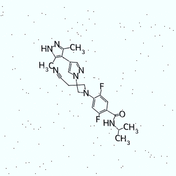 Cc1n[nH]c(C)c1-c1cnn(C2(CC#N)CN(c3cc(F)c(C(=O)NC(C)C)cc3F)C2)c1